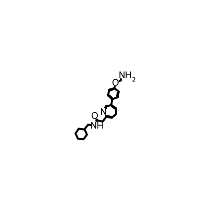 NCOc1ccc(C2=CCC=C(CC(=O)NCC3CCCCC3)N=C2)cc1